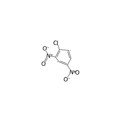 O=[N+]([O-])c1[c]c([N+](=O)[O-])c(Cl)[c]c1